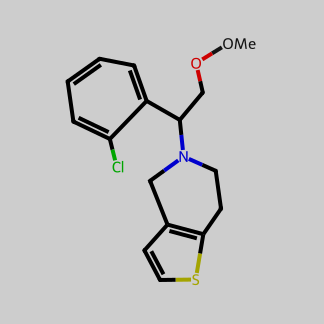 COOCC(c1ccccc1Cl)N1CCc2sccc2C1